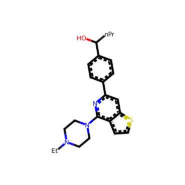 CCCC(O)c1ccc(-c2cc3sccc3c(N3CCN(CC)CC3)n2)cc1